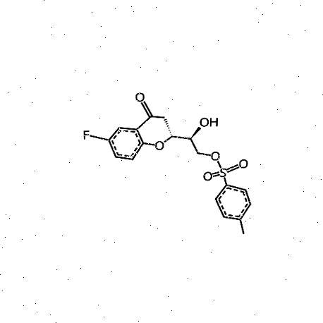 Cc1ccc(S(=O)(=O)OC[C@H](O)[C@H]2CC(=O)c3cc(F)ccc3O2)cc1